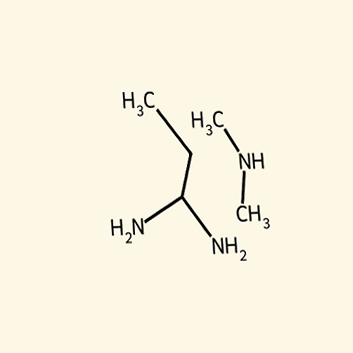 CCC(N)N.CNC